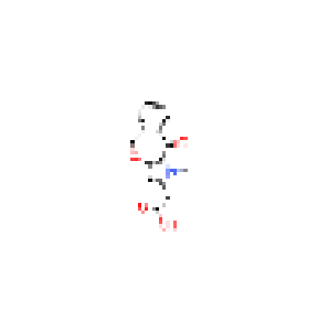 Cn1c(CC(=O)O)cc2c1C(=O)c1ccccc1CO2